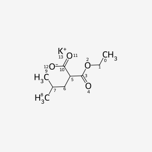 CCOC(=O)C(CC(C)C)C(=O)[O-].[K+]